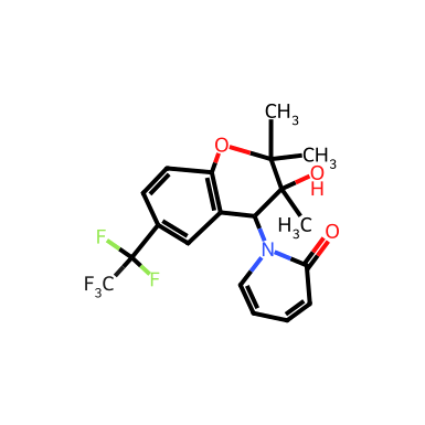 CC1(C)Oc2ccc(C(F)(F)C(F)(F)F)cc2C(n2ccccc2=O)C1(C)O